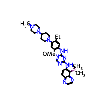 CCc1cc(Nc2ncnc(Nc3ccc4nccnc4c3P(C)C)n2)c(OC)cc1N1CCC(N2CCN(C)CC2)CC1